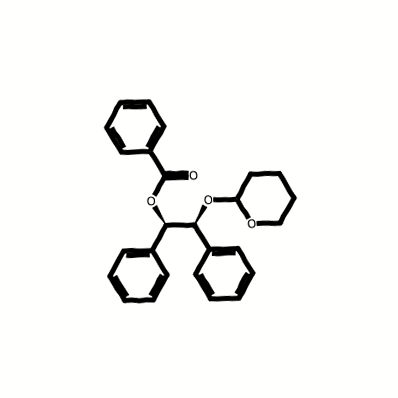 O=C(O[C@H](c1ccccc1)[C@@H](OC1CCCCO1)c1ccccc1)c1ccccc1